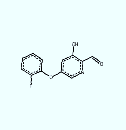 O=Cc1ncc(Oc2ccccc2F)cc1O